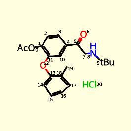 CC(=O)Oc1ccc(C(=O)CNC(C)(C)C)cc1Oc1ccccc1C.Cl